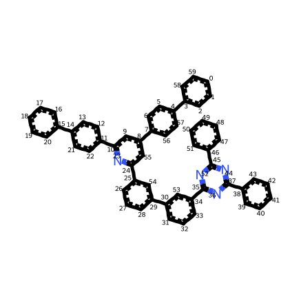 c1ccc(-c2ccc(-c3cc(-c4ccc(-c5ccccc5)cc4)nc(-c4cccc(-c5cccc(-c6nc(-c7ccccc7)nc(-c7ccccc7)n6)c5)c4)c3)cc2)cc1